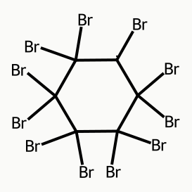 Br[C]1C(Br)(Br)C(Br)(Br)C(Br)(Br)C(Br)(Br)C1(Br)Br